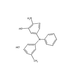 Cc1cccc(N(c2ccccc2)c2ccc(N)c(O)c2)c1.Cl